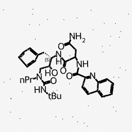 CCCN(CC(O)[C@H](Cc1ccccc1)NC(=O)C(CC(N)=O)NC(=O)c1ccc2ccccc2n1)C(=O)NC(C)(C)C